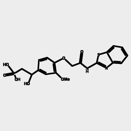 COc1cc(C(O)CP(=O)(O)O)ccc1OCC(=O)Nc1nc2ccccc2s1